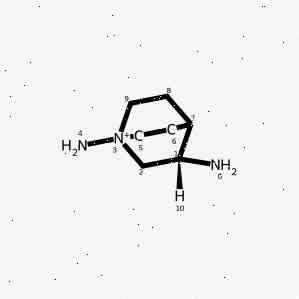 N[C@@H]1C[N+]2(N)CCC1CC2